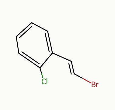 Clc1ccccc1C=CBr